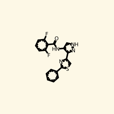 O=C(Nc1c[nH]nc1-c1csc(-c2ccccc2)n1)c1c(F)cccc1F